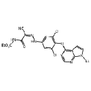 CCOC(=O)NC(=O)C(C#N)=NNc1cc(Cl)c(Oc2ncnc3c2ccn3CC)c(Cl)c1